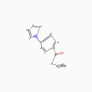 COCC(=O)c1ccc(-n2cccc2)cc1